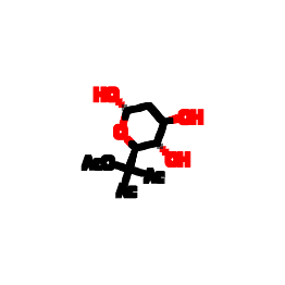 CC(=O)OC(C(C)=O)(C(C)=O)[C@H]1O[C@H](O)C[C@@H](O)[C@@H]1O